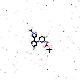 CC(C)(C)OC(=O)N[C@@H]1CN(c2cc(Cl)ncc2-c2cnn(C(F)F)c2)CC[C@@H]1F